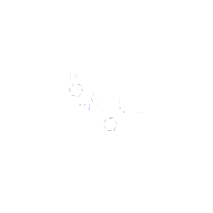 C[C@@H](c1ccc(Br)cc1)N1CCC(CCNCCF)(c2ccc(F)cc2)OC1=O